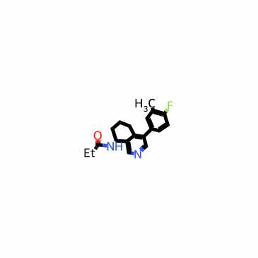 CCC(=O)NC1CCCc2c(-c3ccc(F)c(C)c3)cncc21